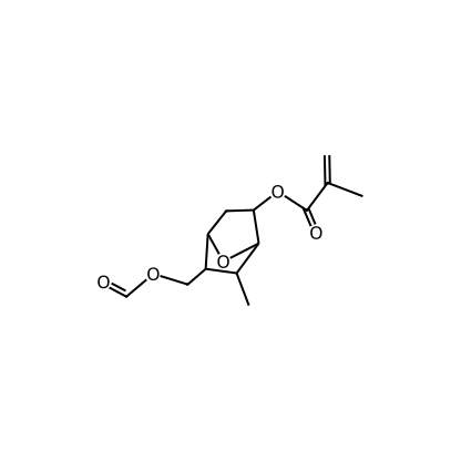 C=C(C)C(=O)OC1CC2OC1C(C)C2COC=O